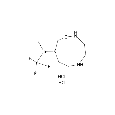 Cl.Cl.[CH3][Ti]([N]1CCNCCNCC1)[C](F)(F)F